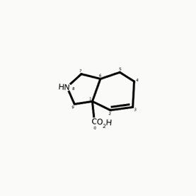 O=C(O)C12C=CCCC1CNC2